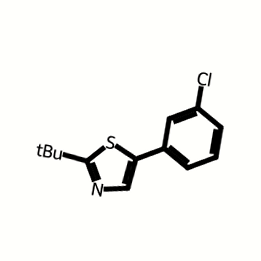 CC(C)(C)c1ncc(-c2cccc(Cl)c2)s1